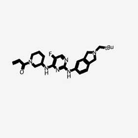 C=CC(=O)N1CCCC(Nc2nc(Nc3ccc4c(c3)CN(CC(C)(C)C)C4)ncc2F)C1